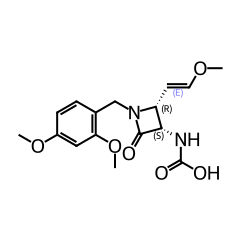 CO/C=C/[C@@H]1[C@H](NC(=O)O)C(=O)N1Cc1ccc(OC)cc1OC